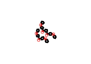 O=C(c1ccc(Oc2ccccc2)cc1)c1ccc(Oc2ccccc2)cc1.O=C(c1ccc(Oc2ccccc2)cc1)c1cccc(C(=O)c2ccc(Oc3ccccc3)cc2)c1